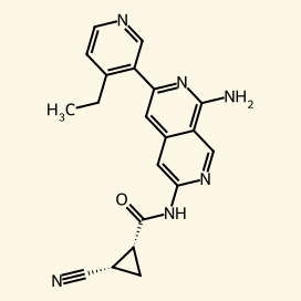 CCc1ccncc1-c1cc2cc(NC(=O)[C@@H]3C[C@@H]3C#N)ncc2c(N)n1